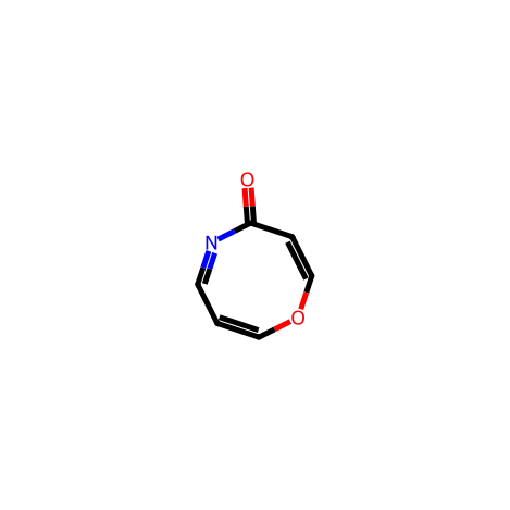 O=C1C=COC=CC=N1